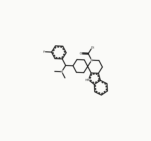 CCC(=O)N1CCc2c([nH]c3ccccc23)C12CCC(C(c1cccc(F)c1)N(C)C)CC2